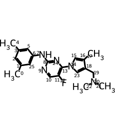 Cc1cc(C)cc(Nc2ncc(F)c(-n3cc(C)c(CN(C)C)c3)n2)c1